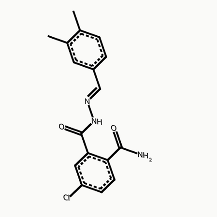 Cc1ccc(C=NNC(=O)c2cc(Cl)ccc2C(N)=O)cc1C